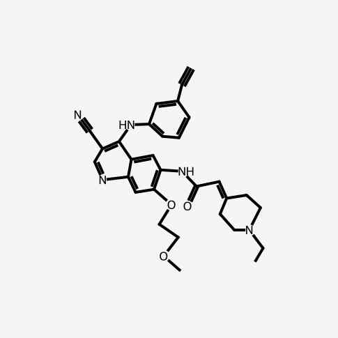 C#Cc1cccc(Nc2c(C#N)cnc3cc(OCCOC)c(NC(=O)C=C4CCN(CC)CC4)cc23)c1